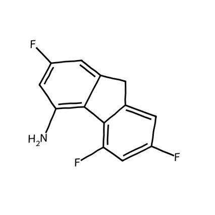 Nc1cc(F)cc2c1-c1c(F)cc(F)cc1C2